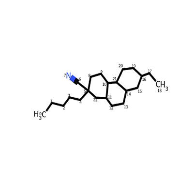 CCCCCC1(C#N)CCC2C(CCC3CC(CC)CCC32)C1